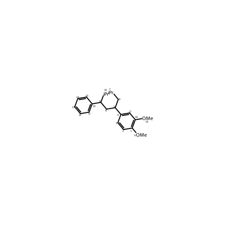 COc1ccc(C(CC(C)C)CC(c2ccccc2)C(C)C)cc1OC